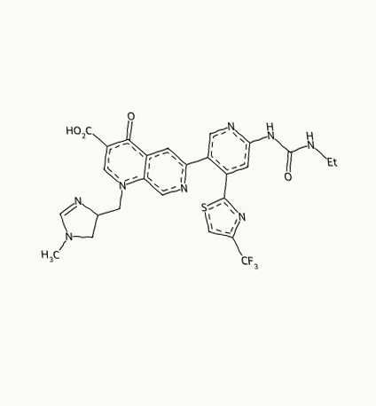 CCNC(=O)Nc1cc(-c2nc(C(F)(F)F)cs2)c(-c2cc3c(=O)c(C(=O)O)cn(CC4CN(C)C=N4)c3cn2)cn1